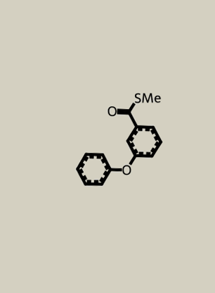 CSC(=O)c1cccc(Oc2ccccc2)c1